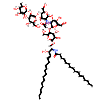 CCCCCCCCCCCCC/C=C/[C@@H](O)[C@H](CO[C@@H]1OC(CO)[C@@H](O[C@@H]2OC(CO)[C@H](O)[C@H](O[C@@H]3OC(CO)[C@@H](O[C@@H]4OC(CO)[C@H](O)[C@H](O)C4O[C@H]4OC(C)[C@@H](O)C(O)[C@@H]4O)[C@H](O)C3NC(C)=O)C2O)[C@H](O)C1O)NC(=O)CCCCCCCCCCCCCCC